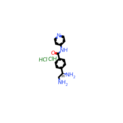 Cl.Cl.NC[C@H](N)c1ccc(C(=O)Nc2ccncc2)cc1